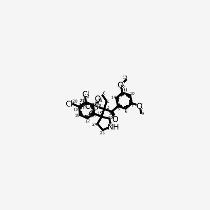 CCC(C(=O)c1cc(OC)cc(OC)c1)(C1(c2ccc(Cl)c(Cl)c2)CCNC1)S(=O)(=O)O